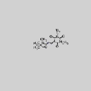 CN1C(=O)C(=C/C=C2\OCC(C)(C)N2C)C(=O)N(C)C1=O